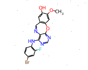 COc1cc2c(cc1O)C=Nc1c(Nc3ccc(Br)cc3F)ncnc1O2